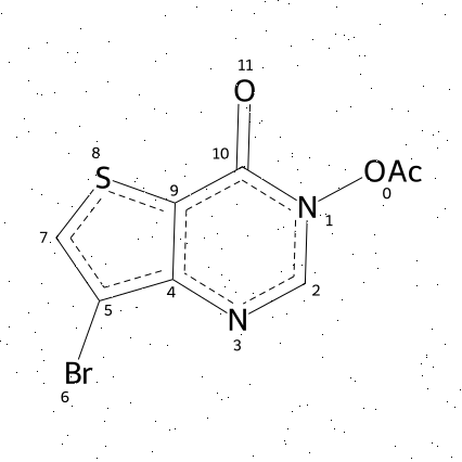 CC(=O)On1cnc2c(Br)csc2c1=O